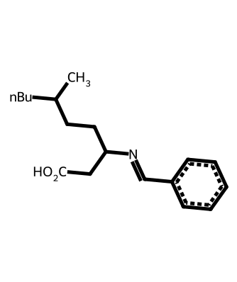 CCCCC(C)CCC(CC(=O)O)N=Cc1ccccc1